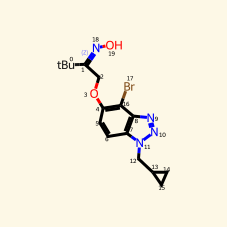 CC(C)(C)/C(COc1ccc2c(nnn2CC2CC2)c1Br)=N/O